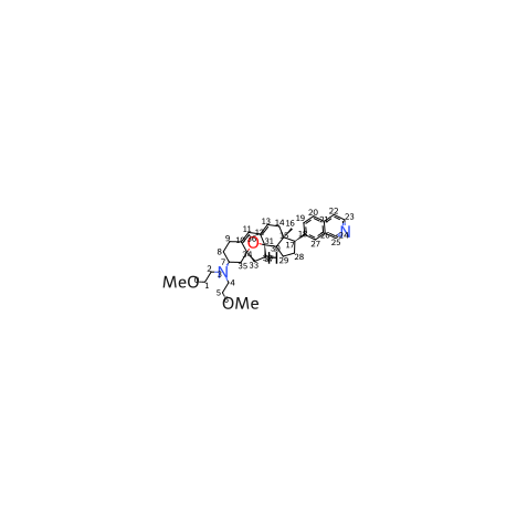 COCCN(CCOC)[C@H]1CCC2=CC3=CC[C@]4(C)[C@@H](c5ccc6ccncc6c5)CC[C@H]4[C@@]34CC[C@]2(C1)O4